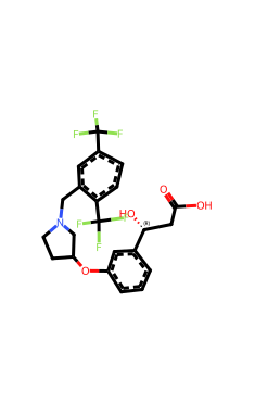 O=C(O)C[C@@H](O)c1cccc(OC2CCN(Cc3cc(C(F)(F)F)ccc3C(F)(F)F)C2)c1